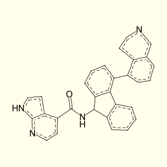 O=C(NC1c2ccccc2-c2c(-c3cccc4cnccc34)cccc21)c1ccnc2[nH]ccc12